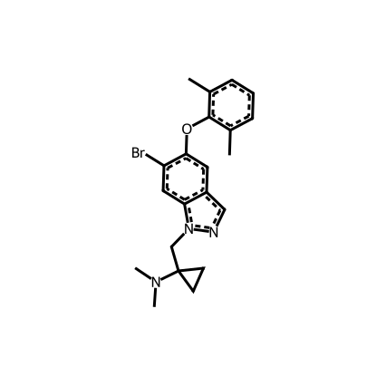 Cc1cccc(C)c1Oc1cc2cnn(CC3(N(C)C)CC3)c2cc1Br